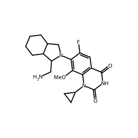 COc1c(N2CC3CCCCC3C2CN)c(F)cc2c(=O)[nH]c(=O)n(C3CC3)c12